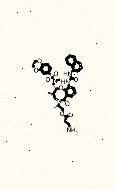 C[C@@H]1CN([C@@H](C)COC(=O)CCN)C(=O)c2cccc(NC(=O)Nc3cccc4ccccc34)c2O[C@H]1CN(C)S(=O)(=O)c1ccc2c(c1)OCCO2